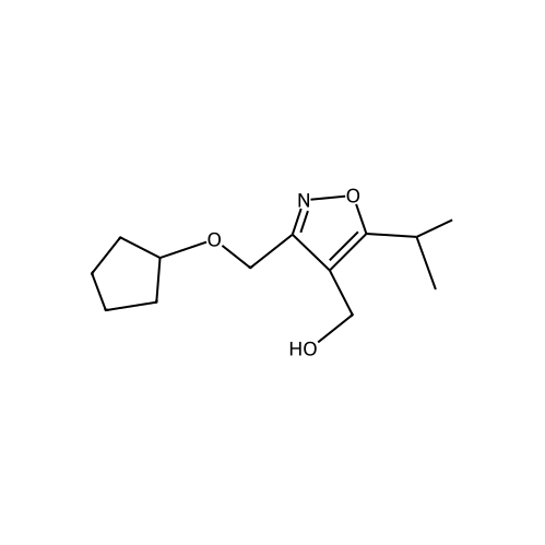 CC(C)c1onc(COC2CCCC2)c1CO